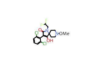 CON1CCC2(CC1)C(O)=C(c1c(Cl)cccc1Cl)C(=O)N2CC(F)F